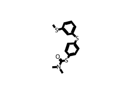 CSc1cccc(Sc2ccc(SC(=O)N(C)C)cc2)c1